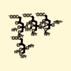 CCCOCC(CC(=O)CC(=O)[O-])(OCCC)OCCC.CCCOCC(CC(=O)CC(=O)[O-])(OCCC)OCCC.CCCOCC(CC(=O)CC(=O)[O-])(OCCC)OCCC.CCCOCC(CC(=O)CC(=O)[O-])(OCCC)OCCC.[Ti+4]